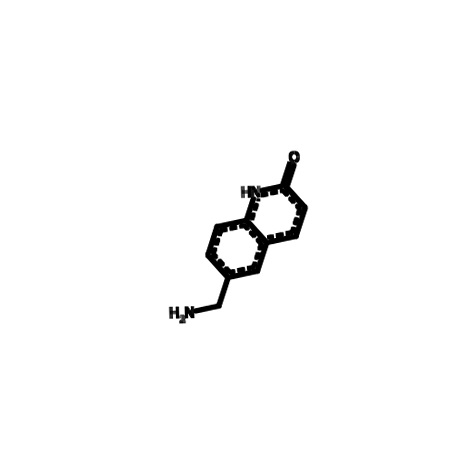 NCc1ccc2[nH]c(=O)ccc2c1